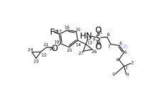 CC(C)(C)C/C=C\CCS(=O)(=O)NC1(c2ccc(F)c(OCC3CC3)c2)CC1